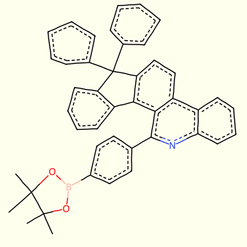 CC1(C)OB(c2ccc(-c3nc4ccccc4c4ccc5c(c34)-c3ccccc3C5(c3ccccc3)c3ccccc3)cc2)OC1(C)C